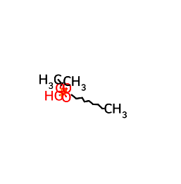 CCCCCCCCCOP(=O)(O)OC(C)C